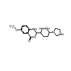 COc1ccc2c(c1)C(=O)OC(C1CCC(N3CCNC3)NN1)N2